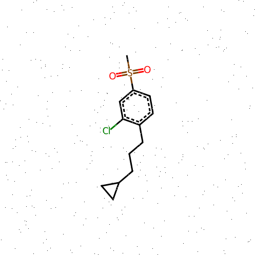 CS(=O)(=O)c1ccc(CCCC2CC2)c(Cl)c1